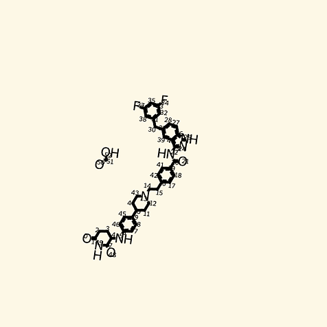 O=C1CCC(Nc2ccc(C3CCN(CCc4ccc(C(=O)Nc5n[nH]c6ccc(Cc7cc(F)cc(F)c7)cc56)cc4)CC3)cc2)C(=O)N1.O=CO